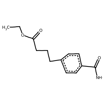 CCOC(=O)CCCc1ccc(C([NH])=O)cc1